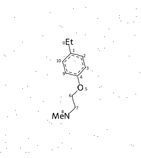 [CH2-][CH+]c1ccc(OCCNC)cc1